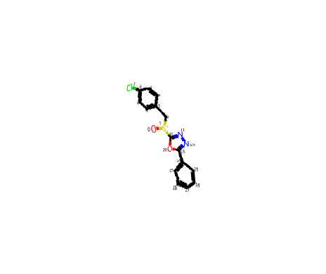 [O-][S+](Cc1ccc(Cl)cc1)c1nnc(-c2ccccc2)o1